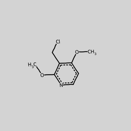 COc1ccnc(OC)c1CCl